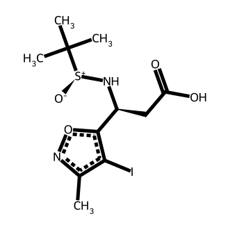 Cc1noc([C@H](CC(=O)O)N[S@@+]([O-])C(C)(C)C)c1I